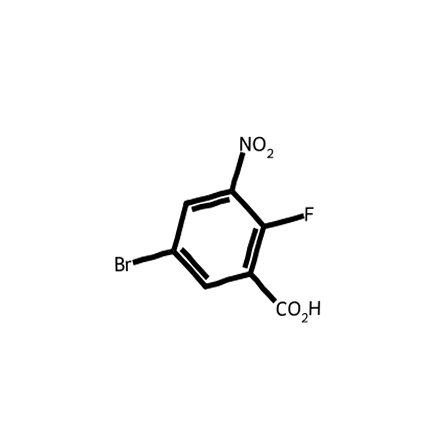 O=C(O)c1cc(Br)cc([N+](=O)[O-])c1F